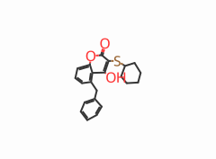 O=c1oc2cccc(Cc3ccccc3)c2c(O)c1SC1CCCCC1